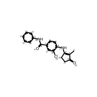 CC1=C(Nc2ccc(C(=O)Nc3ccccc3)cc2Cl)CCC1=O